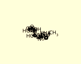 CSSCc1ccccc1C(=O)n1c(N)nc2c(ncn2[C@H]2CC(O)[C@@H](COP(=O)(O)OP(=O)(O)OP(=O)(O)O)O2)c1=O